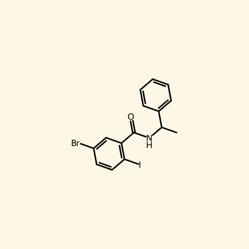 CC(NC(=O)c1cc(Br)ccc1I)c1ccccc1